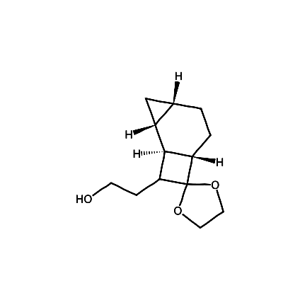 OCCC1[C@H]2[C@@H]3C[C@@H]3CC[C@@H]2C12OCCO2